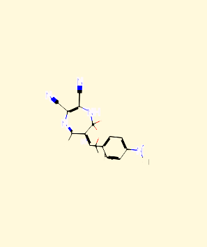 CCOC1(O)NC(C#N)=C(C#N)N=C(C)/C1=C/c1ccc(N(C)C)cc1